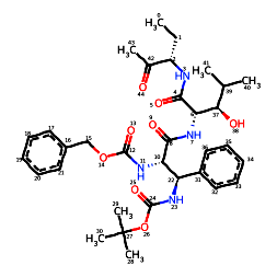 CC[C@H](NC(=O)[C@@H](NC(=O)[C@@H](NC(=O)OCc1ccccc1)[C@H](NC(=O)OC(C)(C)C)c1ccccc1)[C@H](O)C(C)C)C(C)=O